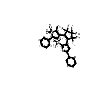 CC[Si](CC)(CC)c1sc(-c2ccccc2)cc1C1=C(C2=C(C)S(=O)(=O)C(c3ccccc3)=C2)C(F)(F)C(F)(F)C1(F)F